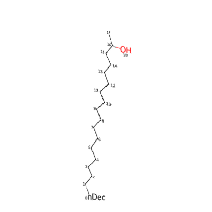 CCCCCCCCCCCCCCCCCCCCCCCCCC(C)O